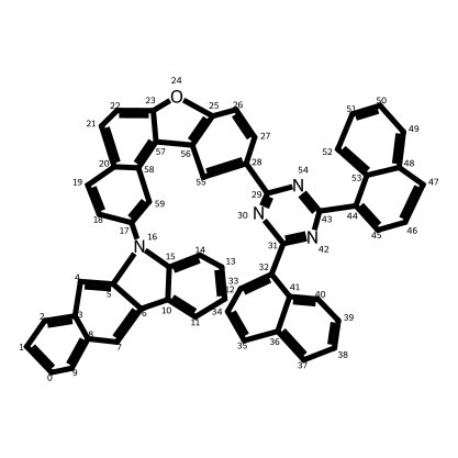 c1ccc2cc3c(cc2c1)c1ccccc1n3-c1ccc2ccc3oc4ccc(-c5nc(-c6cccc7ccccc67)nc(-c6cccc7ccccc67)n5)cc4c3c2c1